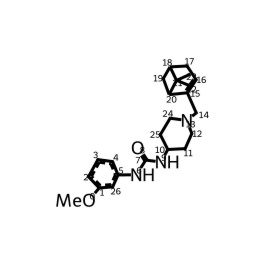 COc1cccc(NC(=O)NC2CCN(CC3=CCC4CC3C4(C)C)CC2)c1